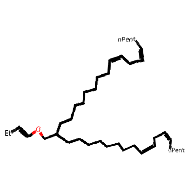 CC/C=C/OCC(CCCCCCCC/C=C\C/C=C\CCCCC)CCCCCCCC/C=C\C/C=C\CCCCC